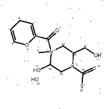 C[N+]1(C(=O)C2=CCC=CO2)CC(CO)N(C(=S)[S-])CC1O.Cl